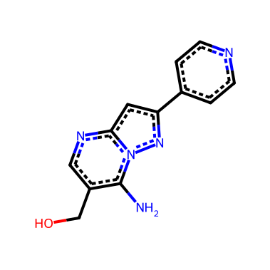 Nc1c(CO)cnc2cc(-c3ccncc3)nn12